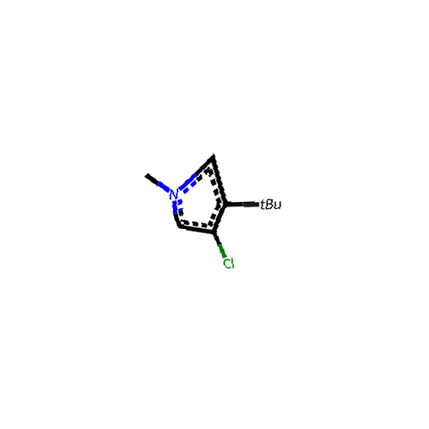 Cn1cc(Cl)c(C(C)(C)C)c1